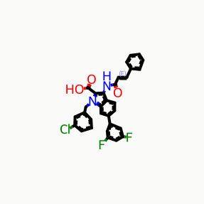 O=C(/C=C/c1ccccc1)Nc1c(C(=O)O)n(Cc2cccc(Cl)c2)c2cc(-c3cc(F)cc(F)c3)ccc12